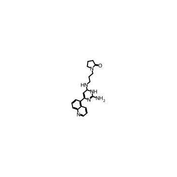 NC1=NC(c2cccc3ncccc23)=CC(NCCCN2CCCC2=O)N1